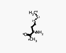 CSSCC[C@H](N)C(C)=O